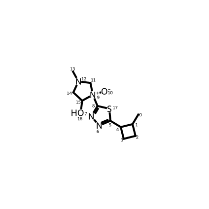 CC1CCC1c1nnc([N+]2([O-])CN(C)CC2O)s1